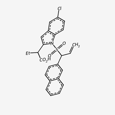 C=CC(c1ccc2ccccc2c1)S(=O)(=O)n1c(C(CC)C(=O)O)cc2cc(Cl)ccc21